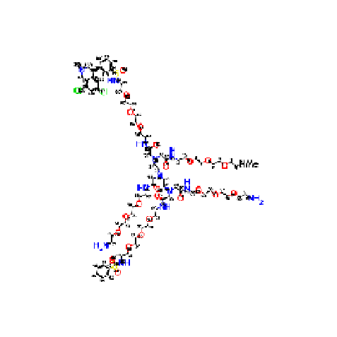 CNCCOCCOCCOCCNC(=O)CN(CCN(CCN(CC(=O)NCCOCCOCCOCCNS(=O)(=O)c1ccccc1)CC(=O)NCOCCOCCOCCN)CC(=O)NCCOCCOCCOCCN)CC(=O)NCCOCCOCCOCCN[S+]([O-])c1cccc([C@@H]2CN(C)Cc3c(Cl)cc(Cl)cc32)c1